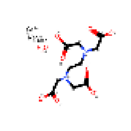 O.O=C([O-])CN(CCN(CC(=O)[O-])CC(=O)[O-])CC(=O)[O-].[Ca+2].[Na+].[Na+]